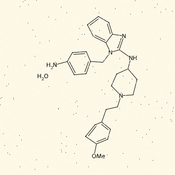 COc1ccc(CCN2CCC(Nc3nc4ccccc4n3Cc3ccc(N)cc3)CC2)cc1.O